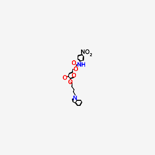 O=C(Nc1ccc([N+](=O)[O-])cc1)OCc1cc(=O)c(OCCCCCn2ccc3ccccc32)co1